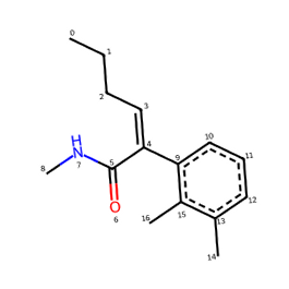 CCC/C=C(\C(=O)NC)c1cccc(C)c1C